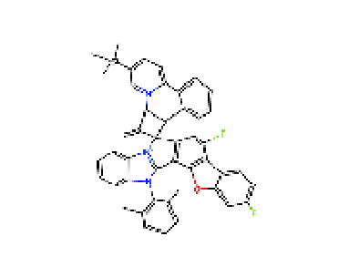 C=C1C2C(c3ccccc3-c3ccc([Si](C)(C)C)c[n+]32)C12c1cc(F)c3c(oc4cc(F)ccc43)c1-c1n(-c3c(C)cccc3C)c3ccccc3[n+]12